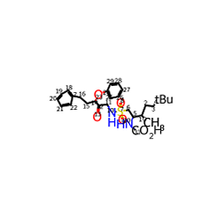 CC(CCC(C)(C)C)C(CS(=O)(=O)NCC(=O)C(CCc1ccccc1)Oc1ccccc1)NC(=O)O